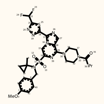 COc1ccc(CN(C2(C)CC2)S(=O)(=O)c2cn3c(-c4nnc(C(F)F)s4)ncc3c(N3CCN(C(=O)C(C)C)CC3)n2)cc1